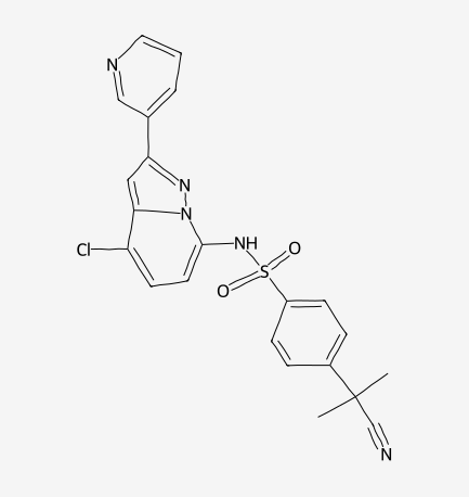 CC(C)(C#N)c1ccc(S(=O)(=O)Nc2ccc(Cl)c3cc(-c4cccnc4)nn23)cc1